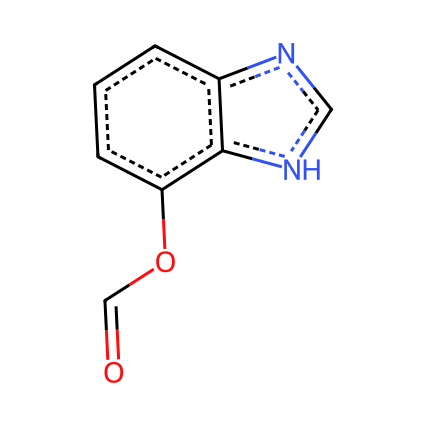 O=COc1cccc2nc[nH]c12